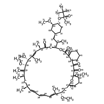 [2H]C([2H])([2H])P(C)(=O)O[C@@H]1CC[C@@H](C[C@@H](C)[C@@H]2CC(=O)[C@H](C)/C=C(\C)[C@@H](O)[C@@H](OC)C(=C)[C@H](C)C[C@H](C)/C=C/C=C/C=C(\C)[C@@H](OC)C[C@@H]3CC[C@@H](C)[C@@](O)(O3)C(=O)C(=O)N3CCCC[C@H]3C(=O)O2)C[C@H]1OC